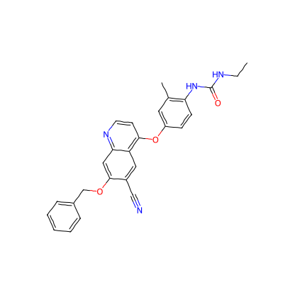 CCNC(=O)Nc1ccc(Oc2ccnc3cc(OCc4ccccc4)c(C#N)cc23)cc1C